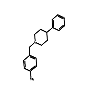 Oc1ccc(CN2CCC(c3ccncc3)CC2)cc1